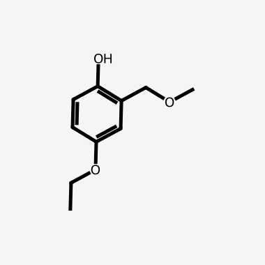 CCOc1ccc(O)c(COC)c1